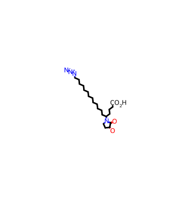 [N-]=[N+]=NCCCCCCCCCCCCCC(CCCC(=O)O)N1CCC(=O)C1=O